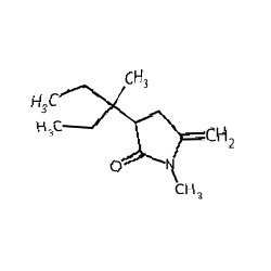 C=C1CC(C(C)(CC)CC)C(=O)N1C